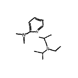 CCN(C(C)C)C(C)C.CN(C)c1ccccn1